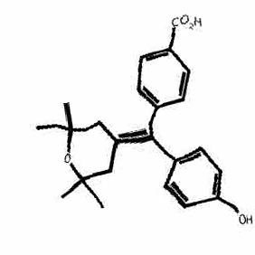 CC1(C)CC(=C(c2ccc(O)cc2)c2ccc(C(=O)O)cc2)CC(C)(C)O1